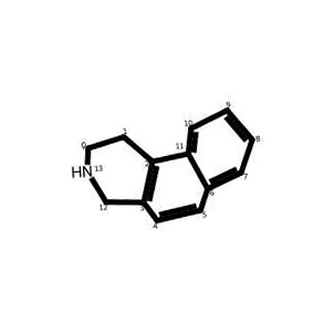 [CH]1Cc2c(ccc3ccccc23)CN1